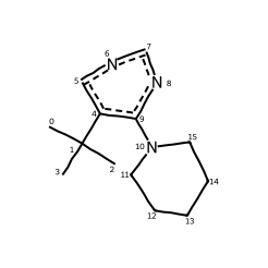 CC(C)(C)c1cncnc1N1CCCCC1